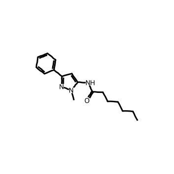 CCCCCCC(=O)Nc1cc(-c2ccccc2)nn1C